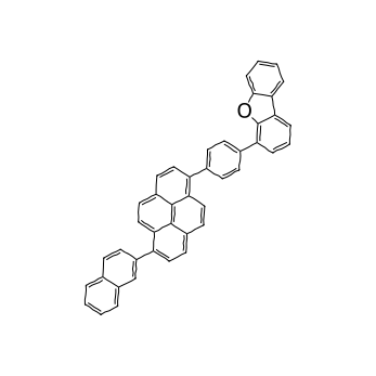 c1ccc2cc(-c3ccc4ccc5c(-c6ccc(-c7cccc8c7oc7ccccc78)cc6)ccc6ccc3c4c65)ccc2c1